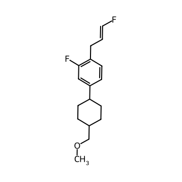 COCC1CCC(c2ccc(C/C=C/F)c(F)c2)CC1